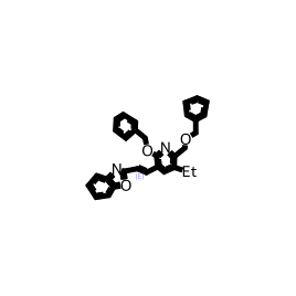 CCc1cc(/C=C/c2nc3ccccc3o2)c(OCc2ccccc2)nc1COCc1ccccc1